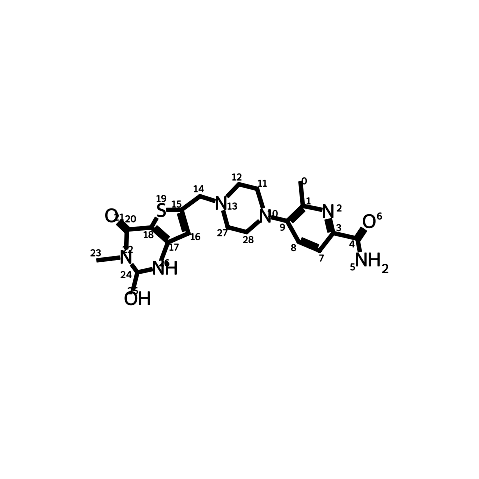 Cc1nc(C(N)=O)ccc1N1CCN(Cc2cc3c(s2)C(=O)N(C)C(O)N3)CC1